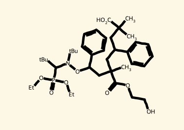 CCOP(=O)(OCC)C(N(OC(CC(C)(CC(CC(C)(C)C(=O)O)c1ccccc1)C(=O)OCCO)c1ccccc1)C(C)(C)C)C(C)(C)C